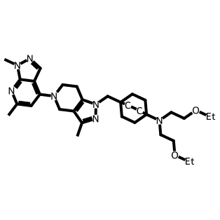 CCOCCN(CCOCC)C12CCC(Cn3nc(C)c4c3CCN(c3cc(C)nc5c3cnn5C)C4)(CC1)CC2